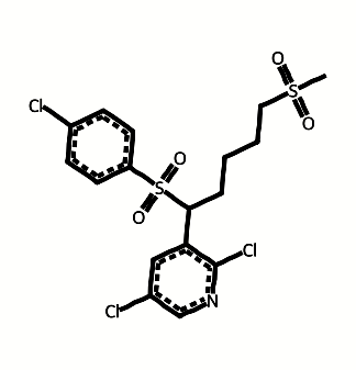 CS(=O)(=O)CCCCC(c1cc(Cl)cnc1Cl)S(=O)(=O)c1ccc(Cl)cc1